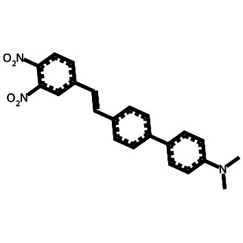 CN(C)c1ccc(-c2ccc(C=Cc3ccc([N+](=O)[O-])c([N+](=O)[O-])c3)cc2)cc1